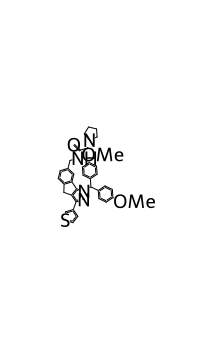 COc1ccc(C(c2ccc(OC)cc2)n2nc(-c3ccsc3)c3c2-c2cc(CNC(=O)CN4CCCC4)ccc2C3)cc1